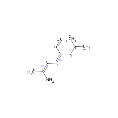 C=C/C(=C\C=C(\C)N)CC(C)C